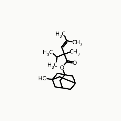 CC(C)=CC(C)(C(=O)OC12CC3CC(CC(O)(C3)C1)C2)C(C)C